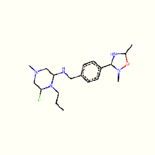 CCCN1C(Cl)CN(C)CC1NCc1ccc(C2NC(C)ON2C)cc1